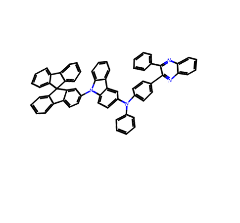 c1ccc(-c2nc3ccccc3nc2-c2ccc(N(c3ccccc3)c3ccc4c(c3)c3ccccc3n4-c3ccc4c(c3)C3(c5ccccc5-c5ccccc53)c3ccccc3-4)cc2)cc1